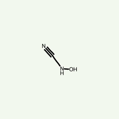 N#CNO